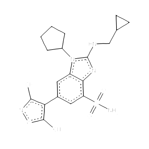 Cc1noc(C)c1-c1cc(S(N)(=O)=O)c2nc(NCC3CC3)n(C3CCCC3)c2c1